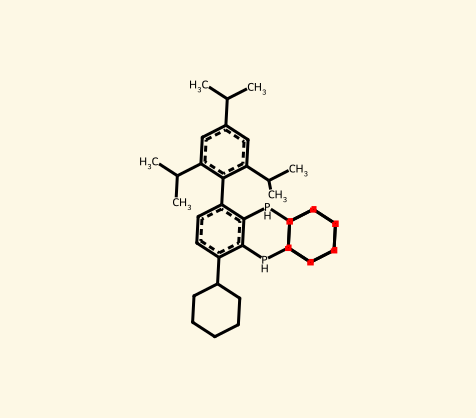 CC(C)c1cc(C(C)C)c(-c2ccc(C3CCCCC3)c(PC3CCCCC3)c2PC2CCCCC2)c(C(C)C)c1